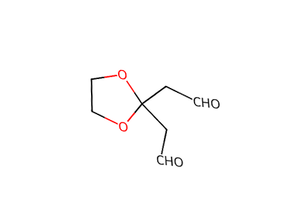 O=CCC1(CC=O)OCCO1